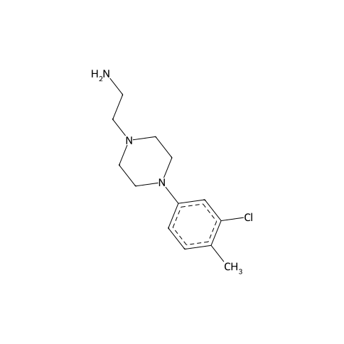 Cc1ccc(N2CCN(CCN)CC2)cc1Cl